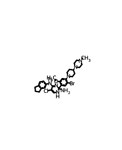 COc1cc(N2CCC(N3CCN(C)CC3)CC2)c(Br)cc1C1(N)N=C(Nc2ccc3c(c2)CCC3)C(Cl)=CN1